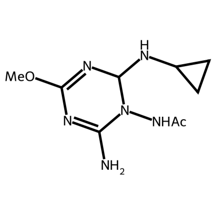 COC1=NC(NC2CC2)N(NC(C)=O)C(N)=N1